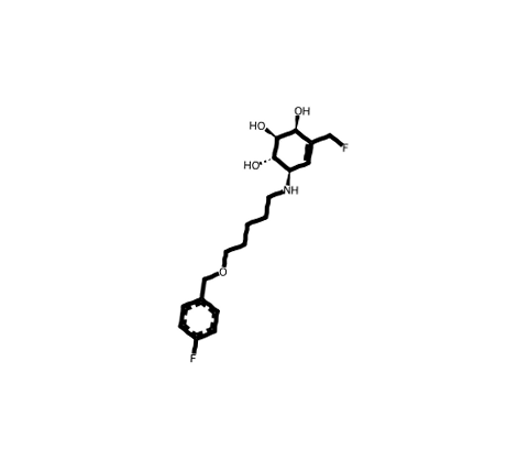 O[C@@H]1[C@@H](O)[C@@H](O)C(CF)=C[C@H]1NCCCCCOCc1ccc(F)cc1